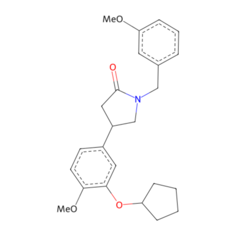 COc1cccc(CN2CC(c3ccc(OC)c(OC4CCCC4)c3)CC2=O)c1